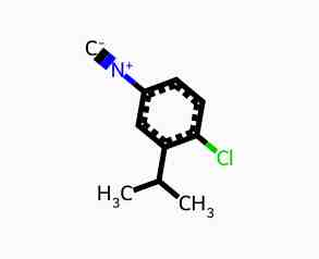 [C-]#[N+]c1ccc(Cl)c(C(C)C)c1